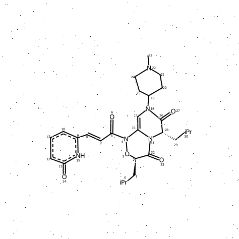 CC(C)C[C@H]1ON(C(=O)/C=C/c2cccc(=O)[nH]2)C2=CN(C3CCN(C)CC3)C(=O)[C@H](CC(C)C)N2C1=O